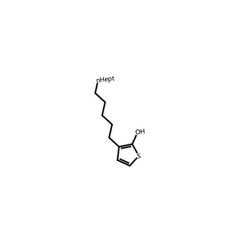 CCCCCCCCCCCCc1ccsc1O